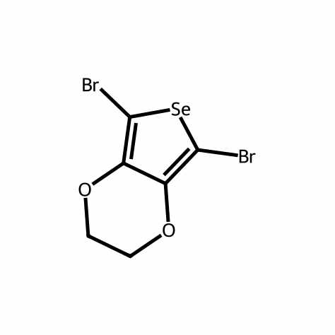 Brc1[se]c(Br)c2c1OCCO2